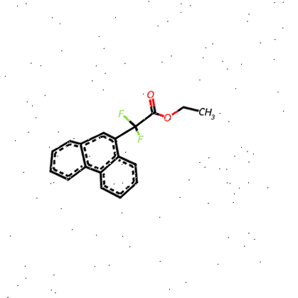 CCOC(=O)C(F)(F)c1cc2ccccc2c2ccccc12